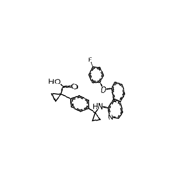 O=C(O)C1(c2ccc(C3(Nc4nccc5cccc(Oc6ccc(F)cc6)c45)CC3)cc2)CC1